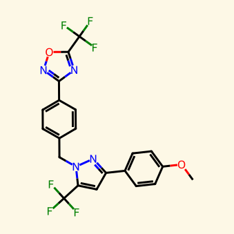 COc1ccc(-c2cc(C(F)(F)F)n(Cc3ccc(-c4noc(C(F)(F)F)n4)cc3)n2)cc1